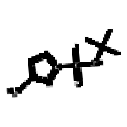 CC(C)(C)NS(=O)(=O)n1ccc(N)n1